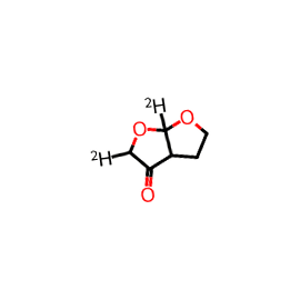 [2H]C1OC2([2H])OCCC2C1=O